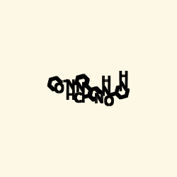 O=C(Nc1cc(-c2cccc(NC[C@H]3CCCCO3)n2)c(Cl)cn1)C1CCCNC1